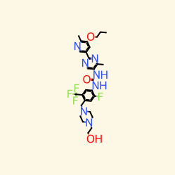 CCCOc1cc(-c2ncc(NC(=O)Nc3cc(C(F)(F)F)c(CN4CCN(CCO)CC4)cc3F)c(C)n2)cnc1C